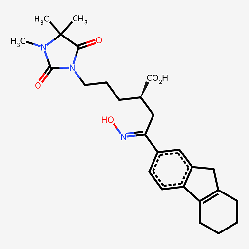 CN1C(=O)N(CCC[C@H](CC(=NO)c2ccc3c(c2)CC2=C3CCCC2)C(=O)O)C(=O)C1(C)C